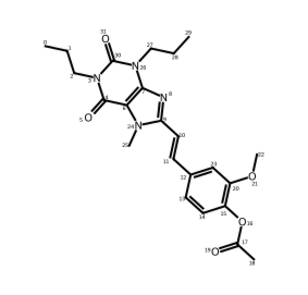 CCCn1c(=O)c2c(nc(C=Cc3ccc(OC(C)=O)c(OC)c3)n2C)n(CCC)c1=O